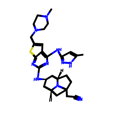 Cc1cc(Nc2nc(N[C@H]3C[C@@H]4CCC5(CC#N)C[C@H](C3)N45)nc3sc(CN4CCN(C)CC4)cc23)n[nH]1